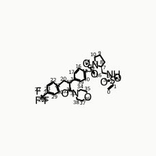 C=CS(=O)(=O)NC[C@@H]1CCCN1S(=O)(=O)c1ccc(C(Cc2ccc(C(F)(F)F)cc2)C(=O)N2CCOCC2)cc1